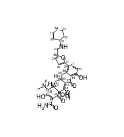 CN(C)[C@@H]1C(O)=C(C(N)=O)C(=O)[C@@]2(O)C(O)=C3C(=O)c4c(O)ccc(-c5ccc(CNC6CCCCC6)o5)c4C[C@@H]3C[C@H]12